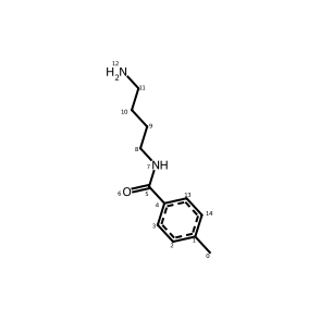 Cc1ccc(C(=O)NCCCCN)cc1